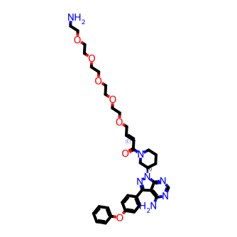 NCCOCCOCCOCCOCCOC/C=C/C(=O)N1CCC[C@@H](n2nc(-c3ccc(Oc4ccccc4)cc3)c3c(N)ncnc32)C1